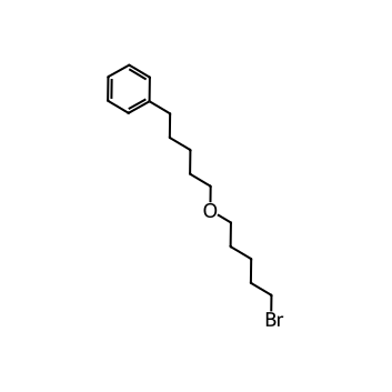 BrCCCCCOCCCCCc1ccccc1